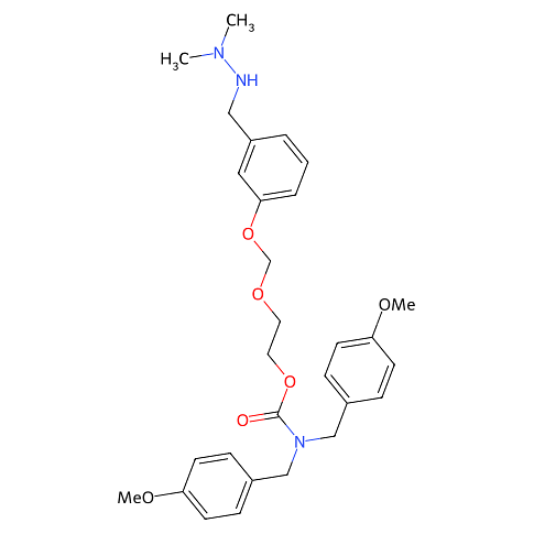 COc1ccc(CN(Cc2ccc(OC)cc2)C(=O)OCCOCOc2cccc(CNN(C)C)c2)cc1